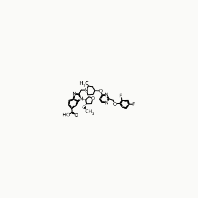 CO[C@H]1COC[C@H]1n1c(CN2CC[C@H](Oc3ccnc(COc4ccc(F)cc4F)n3)C[C@@H]2C)nc2ccc(C(=O)O)cc21